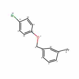 CCCc1cccc(COc2ccc(Br)cc2)c1